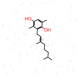 C/C(=C\Cc1c(C)c(O)cc(C)c1O)CCCC(C)C